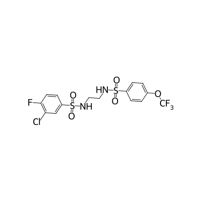 O=S(=O)(NCCNS(=O)(=O)c1ccc(F)c(Cl)c1)c1ccc(OC(F)(F)F)cc1